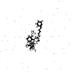 CS/C(=N/CCCCc1ccccc1)SCc1c(C)cccc1-n1nnn(C)c1=O